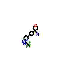 N#CC1(c2ccc(-c3ccc4nnc(C(F)(F)F)n4c3)cc2)CCOCC1